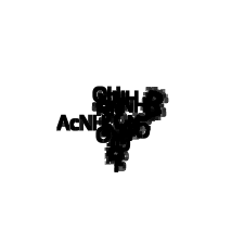 CC(=O)NC(Cc1ccc(O)cc1)C(=O)NC(Cc1ccc(F)cc1)C(=O)N1CC(=O)N(CCc2ccc3ccccc3c2)CC1CCCNC(=N)N